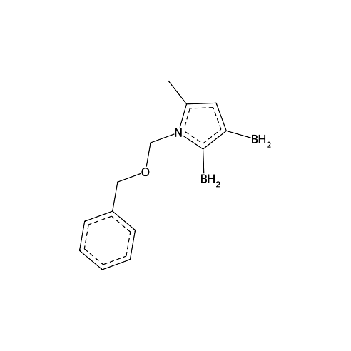 Bc1cc(C)n(COCc2ccccc2)c1B